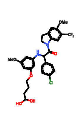 COc1cc(NC(C(=O)N2CCc3cc(OC)c(C(F)(F)F)cc32)c2ccc(Cl)cc2)cc(OCCCC(O)O)c1